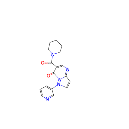 O=C(c1cnc2ccn(-c3cccnc3)n2c1=O)N1CCCCC1